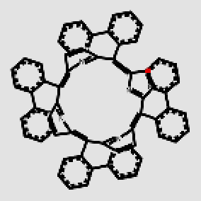 C1=CC2=C(c3ccccc3-c3ccccn3)C3=NC(=C(c4ccccc4-c4ccccn4)C4=NC(=C(c5ccccc5-c5ccccn5)C5=NC(=C(c6ccccc6-c6ccccn6)C1=N2)C=C5)C=C4)C=C3